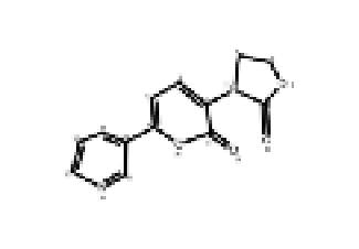 O=C1OCCN1c1ccc(-c2cccnc2)oc1=O